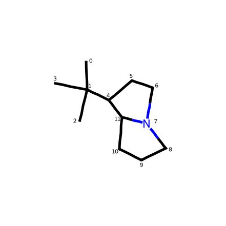 CC(C)(C)C1CCN2CCCC12